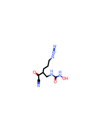 N#CC(=O)C(CCCN=[N+]=[N-])CNC(=O)NO